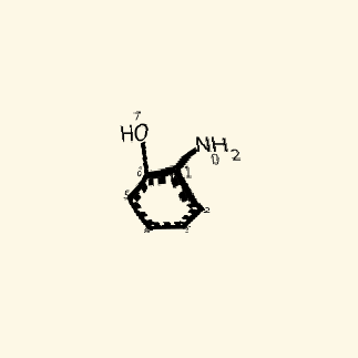 Nc1c[c]ccc1O